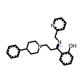 Oc1ccccc1/C(CCN1CCC(c2ccccc2)CC1)=N/Cc1ccccn1